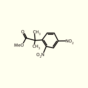 COC(=O)C(C)(C)c1ccc([N+](=O)[O-])cc1[N+](=O)[O-]